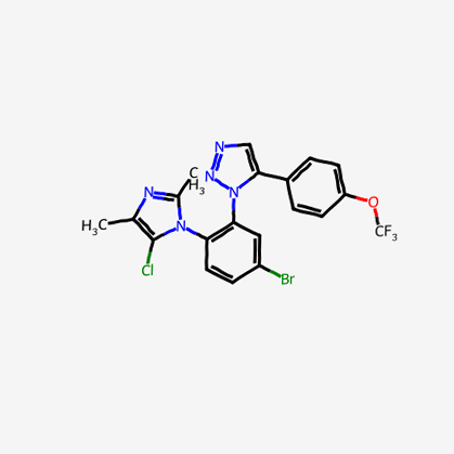 Cc1nc(C)n(-c2ccc(Br)cc2-n2nncc2-c2ccc(OC(F)(F)F)cc2)c1Cl